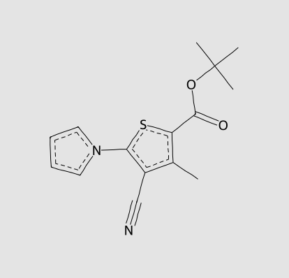 Cc1c(C(=O)OC(C)(C)C)sc(-n2cccc2)c1C#N